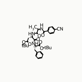 C[C@H](NC(=O)c1ccc(C#N)cc1)C(=O)N[C@@H](CC(=O)OC(C)(C)C)C(=O)N[C@@H](Cc1ccccc1)C(=O)OC(C)(C)C